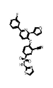 N#Cc1cc(S(=O)(=O)Nc2nccs2)ccc1Oc1ccc(-c2cccc(F)c2)nc1-c1ccoc1